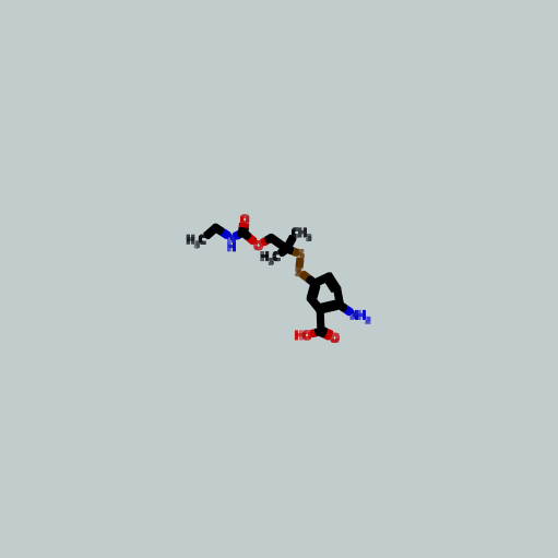 CCNC(=O)OCC(C)(C)SSc1ccc(N)c(C(=O)O)c1